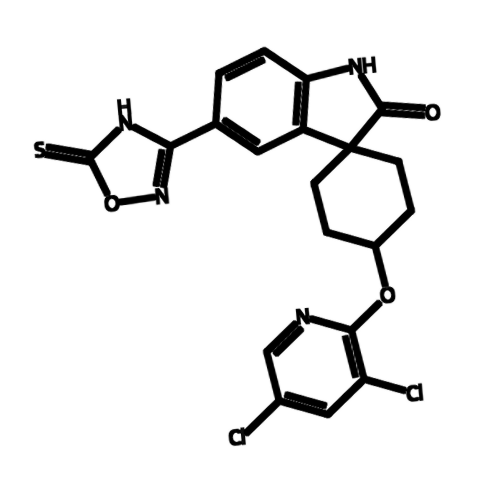 O=C1Nc2ccc(-c3noc(=S)[nH]3)cc2C12CCC(Oc1ncc(Cl)cc1Cl)CC2